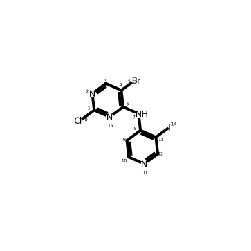 Clc1ncc(Br)c(Nc2ccncc2I)n1